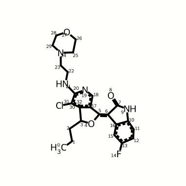 CCCC1OC(=C2C(=O)Nc3ccc(F)cc32)c2cnc(NCCN3CCOCC3)c(Cl)c21